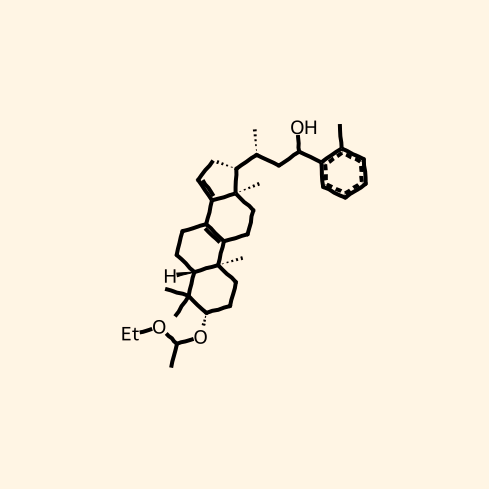 CCOC(C)O[C@H]1CC[C@]2(C)C3=C(CC[C@H]2C1(C)C)C1=CC[C@H]([C@H](C)CC(O)c2ccccc2C)[C@@]1(C)CC3